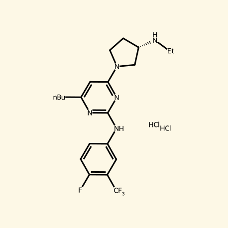 CCCCc1cc(N2CC[C@H](NCC)C2)nc(Nc2ccc(F)c(C(F)(F)F)c2)n1.Cl.Cl